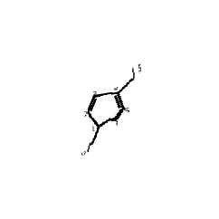 I[C]1C=CC(I)=CC1